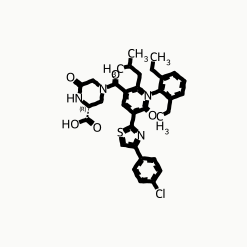 CCc1cccc(CC)c1-n1c(CC(C)C)c(C(=O)N2CC(=O)N[C@@H](C(=O)O)C2)cc(-c2nc(-c3ccc(Cl)cc3)cs2)c1=O